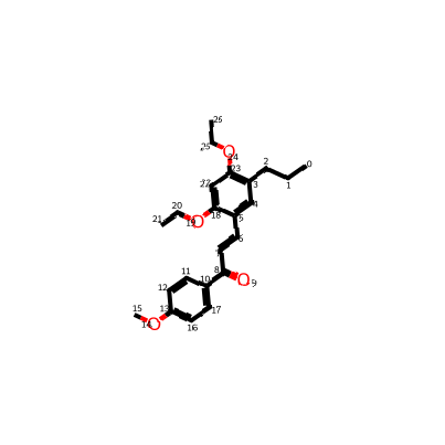 CCCc1cc(C=CC(=O)c2ccc(OC)cc2)c(OCC)cc1OCC